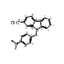 CN(C)c1ccc(CC2c3ccccc3-c3ccc(C=O)cc32)cc1